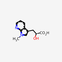 Cn1cc(C[C@H](O)C(=O)O)c2cccnc21